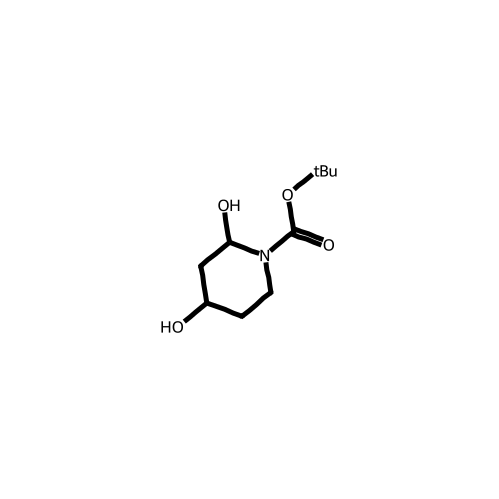 CC(C)(C)OC(=O)N1CCC(O)CC1O